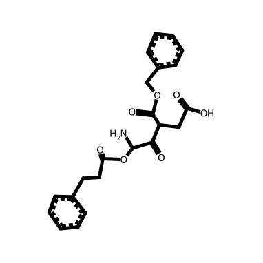 NC(OC(=O)CCc1ccccc1)C(=O)C(CC(=O)O)C(=O)OCc1ccccc1